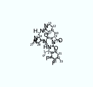 CCC(NC(=O)N1C(=O)[C@H](Cc2ccnc(N)c2)[C@H]1C(=O)N(C)c1cnn(C)c1)c1ccc(C)c(F)c1F